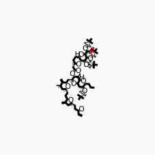 C=CC(=O)CC[C@H]1CC(=C)C(CC[C@H]2C[C@@H](C)C(=C)C(C[C@@H]3OC4C[C@@H](O[Si](C)(C)C(C)(C)C)C(CCC)O[C@H]4[C@H](C)C3OC(=O)C[C@H]3CC[C@@H]4O[C@@H]([C@H](C=C)O[Si](C)(C)C(C)(C)C)[C@@H](O[Si](C)(C)C(C)(C)C)[C@@H](O[Si](C)(C)C(C)(C)C)C4O3)O2)O1